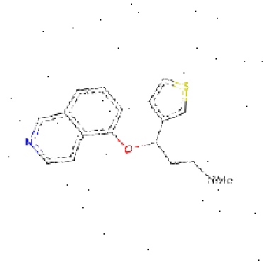 CNCCC(Oc1cccc2cnccc12)c1ccsc1